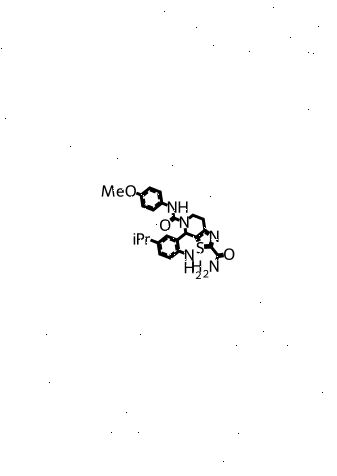 COc1ccc(NC(=O)N2CCc3nc(C(N)=O)sc3C2c2cc(C(C)C)ccc2N)cc1